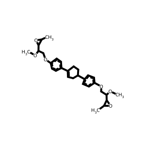 COC(COc1ccc(C2=CCC(c3ccc(OCC(OC)C4OC4C)cc3)CC2)cc1)C1OC1C